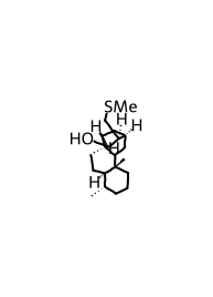 CSC[C@H]1[C@H]2CC[C@@]3(CC[C@@H]4[C@@H](C)CCC[C@@]4(C)[C@@H]3C2)[C@@H]1O